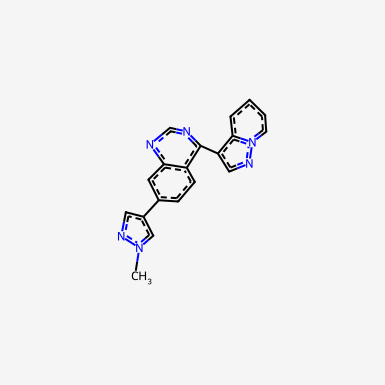 Cn1cc(-c2ccc3c(-c4cnn5ccccc45)ncnc3c2)cn1